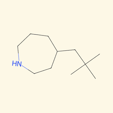 CC(C)(C)CC1CCCNCC1